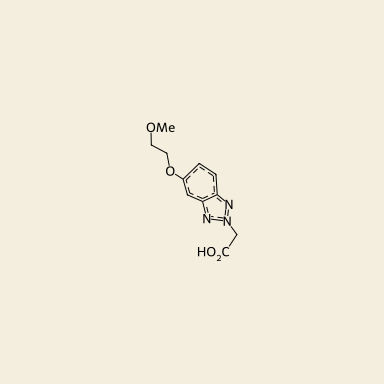 COCCOc1ccc2nn(CC(=O)O)nc2c1